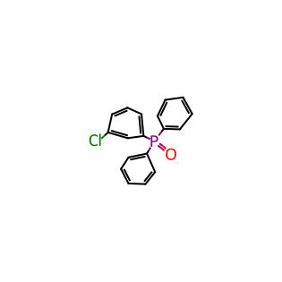 O=P(c1ccccc1)(c1ccccc1)c1cccc(Cl)c1